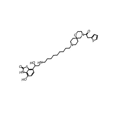 O=C(Cc1cccs1)N1CCOC2(CCN(CCCCCCCCCNCC(O)c3ccc(O)c4[nH]c(=O)sc34)CC2)C1